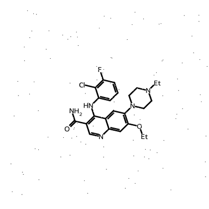 CCOc1cc2ncc(C(N)=O)c(Nc3cccc(F)c3Cl)c2cc1N1CCN(CC)CC1